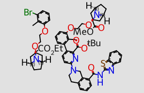 CCOC(=O)CN1[C@@H]2CC[C@H]1CC(OCCOc1cccc(Br)c1C)C2.COC(=O)CN1[C@@H]2CC[C@H]1CC(OCCOc1cccc(-c3ccc(N4CCc5cccc(C(=O)Nc6nc7ccccc7s6)c5C4)nc3C(=O)OC(C)(C)C)c1C)C2